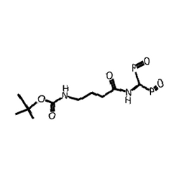 CC(C)(C)OC(=O)NCCCC(=O)NC(P=O)P=O